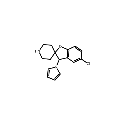 Clc1ccc2c(c1)C(n1cccc1)C1(CCNCC1)O2